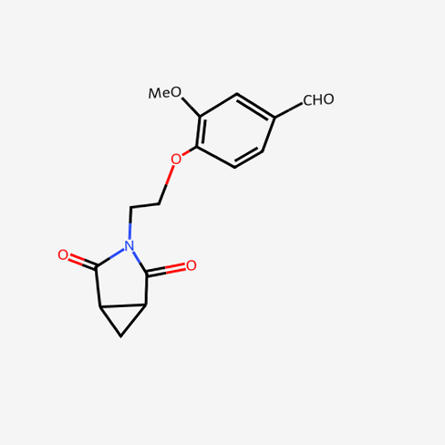 COc1cc(C=O)ccc1OCCN1C(=O)C2CC2C1=O